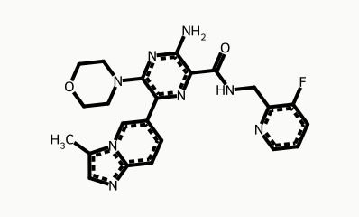 Cc1cnc2ccc(-c3nc(C(=O)NCc4ncccc4F)c(N)nc3N3CCOCC3)cn12